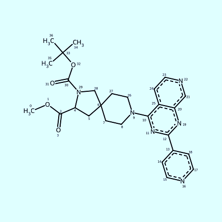 COC(=O)C1CC2(CCN(c3nc(-c4ccncc4)nc4cnccc34)CC2)CN1C(=O)OC(C)(C)C